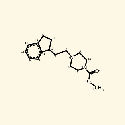 COC(=O)N1CCN(CCC2CCc3ccccc32)CC1